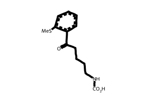 CSc1ccccc1C(=O)CCCCNC(=O)O